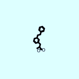 O=C1OCC1CC1=CC(CCc2ccccc2)CC=C1